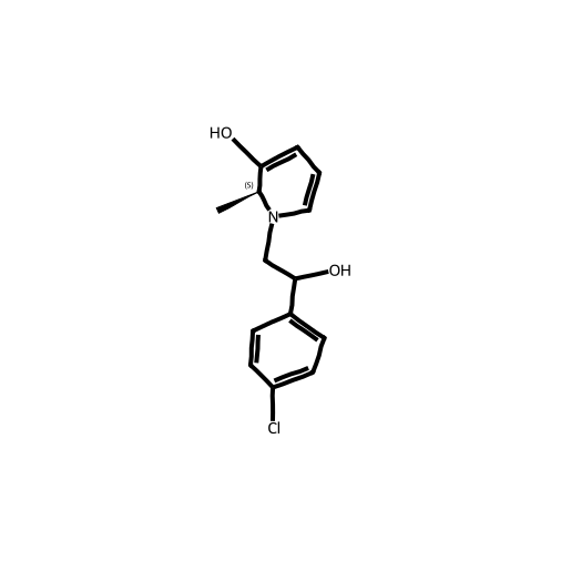 C[C@H]1C(O)=CC=CN1CC(O)c1ccc(Cl)cc1